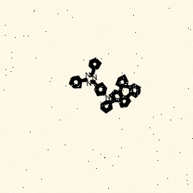 c1ccc(-c2nc(-c3ccccc3)nc(-c3ccc(-n4c5ccccc5c5c6cccc7c6c(cc54)-c4ccccc4-c4ccccc4-7)cc3)n2)cc1